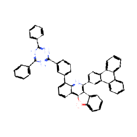 c1ccc(-c2nc(-c3ccccc3)nc(-c3cccc(-c4cccc5c4nc(-c4ccc6c7ccccc7c7ccccc7c6c4)c4c6ccccc6oc54)c3)n2)cc1